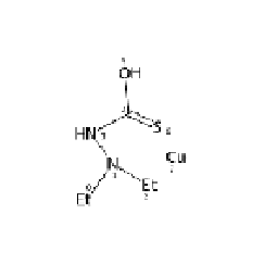 CCN(CC)NC(O)=S.[Cu]